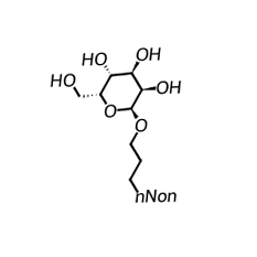 CCCCCCCCCCCCO[C@H]1O[C@H](CO)[C@H](O)[C@@H](O)[C@H]1O